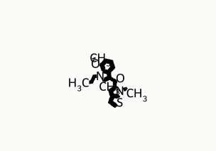 CCCn1c(C)c(C(=O)c2cc3ccsc3n2CC)c2cccc(OC)c21